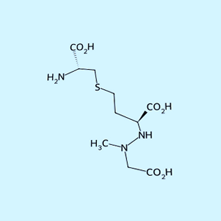 CN(CC(=O)O)N[C@@H](CCSC[C@H](N)C(=O)O)C(=O)O